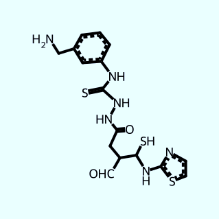 NCc1cccc(NC(=S)NNC(=O)CC(C=O)C(S)Nc2nccs2)c1